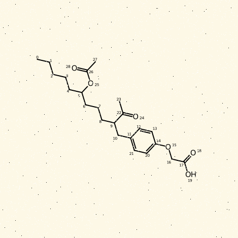 CCCCCC(CCCC(Cc1ccc(OCC(=O)O)cc1)C(C)=O)OC(C)=O